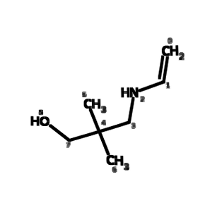 C=CNCC(C)(C)CO